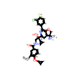 COc1cc(C(=O)NCC(O)(c2cc3c(c(-c4ccc(F)c(Cl)c4)n2)OCC3(N)C(F)(F)F)C2CC2)ccc1OC1CC1